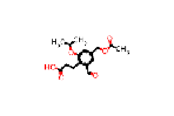 CC(=O)OCc1cc(C=O)c(CCC(=O)O)c(OC(C)C)c1